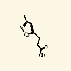 O=C(O)CCc1cc(Br)no1